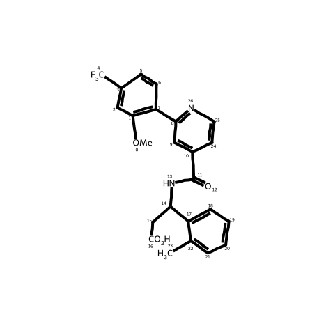 COc1cc(C(F)(F)F)ccc1-c1cc(C(=O)NC(CC(=O)O)c2ccccc2C)ccn1